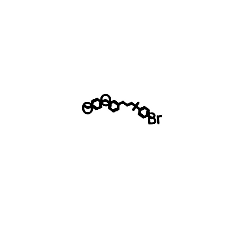 COc1ccc(Oc2cccc(CCCC(C)(C)c3ccc(Br)cc3)c2)cc1